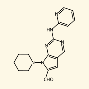 O=Cc1cc2cnc(Nc3ccccn3)nc2n1N1CCCCC1